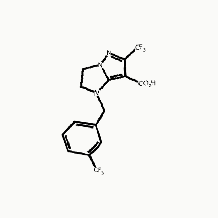 O=C(O)c1c(C(F)(F)F)nn2c1N(Cc1cccc(C(F)(F)F)c1)CC2